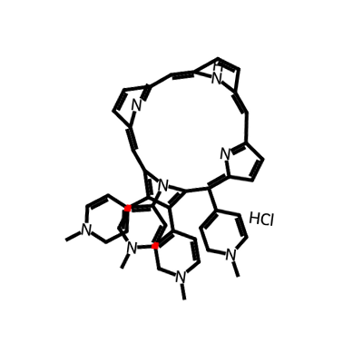 CN1C=CC(c2c(C3=CCN(C)C=C3)c3c(C4=CCN(C)C=C4)c4nc(cc5ccc(cc6nc(cc2n3C2=CCN(C)C=C2)C=C6)[nH]5)C=C4)=CC1.Cl